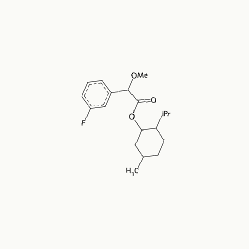 COC(C(=O)OC1CC(C)CCC1C(C)C)c1cccc(F)c1